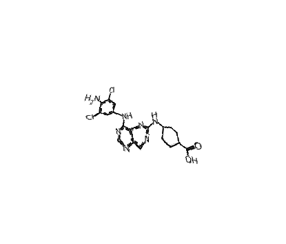 Nc1c(Cl)cc(Nc2ncnc3cnc(NC4CCC(C(=O)O)CC4)nc23)cc1Cl